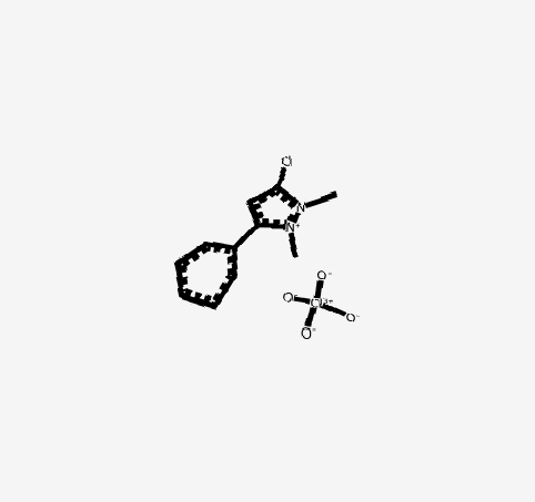 Cn1c(Cl)cc(-c2ccccc2)[n+]1C.[O-][Cl+3]([O-])([O-])[O-]